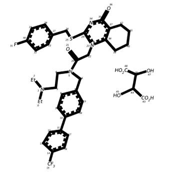 CCN(CC)CCN(Cc1ccc(-c2ccc(C(F)(F)F)cc2)cc1)C(=O)Cn1c(SCc2ccc(F)cc2)nc(=O)c2c1CCCC2.O=C(O)C(O)C(O)C(=O)O